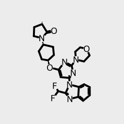 O=C1[CH]CCN1[C@H]1CC[C@H](Oc2cc(-n3c(C(F)F)nc4ccccc43)nc(N3CCOCC3)n2)CC1